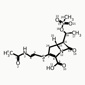 CC(=O)N/C=C/SC1=C(C(=O)O)N2C(=O)[C@H]([C@H](C)OS(C)(=O)=O)[C@H]2C1